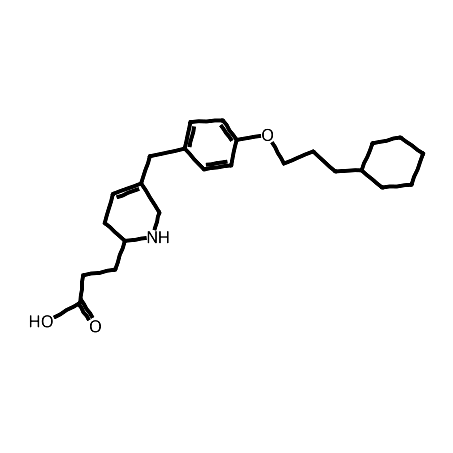 O=C(O)CCC1CC=C(Cc2ccc(OCCCC3CCCCC3)cc2)CN1